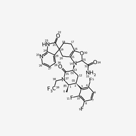 C[C@@H]1[C@H](c2c(F)ccc(F)c2F)C[C@H](N2C3=C(CCC4(C3)C(=O)Nc3ncccc34)OC2C(N)=O)C(=O)N1CC(F)(F)F